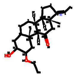 C/C=C1\CC[C@H]2[C@@H]3CCC4CC(O)C(OCC)C[C@]4(C)[C@H]3C(=O)C[C@]12C